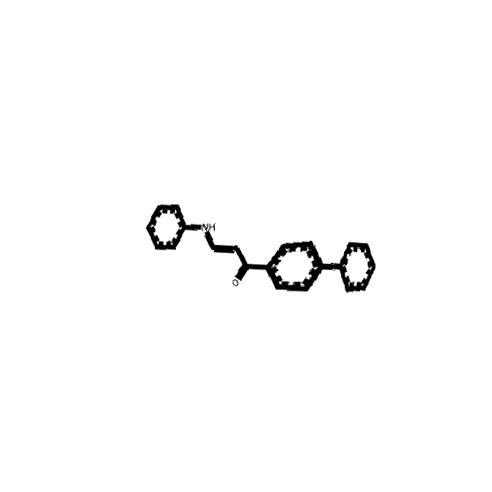 O=C(C=CNc1ccccc1)c1ccc(-c2ccccc2)cc1